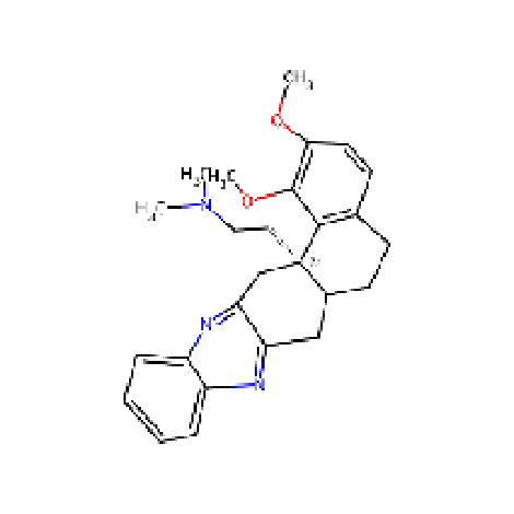 COc1ccc2c(c1OC)[C@]1(CCN(C)C)Cc3nc4ccccc4nc3CC1CC2